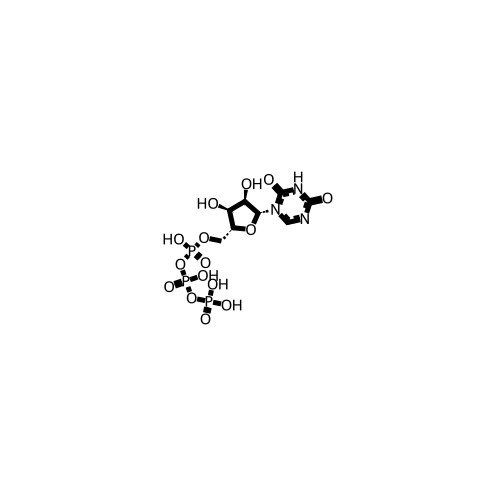 O=c1ncn([C@@H]2O[C@H](COP(=O)(O)OP(=O)(O)OP(=O)(O)O)[C@@H](O)[C@H]2O)c(=O)[nH]1